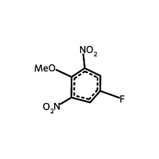 COc1c([N+](=O)[O-])cc(F)cc1[N+](=O)[O-]